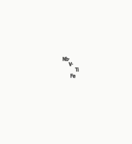 [Fe].[Nb].[Ti].[V]